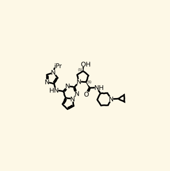 CC(C)n1cnc(Nc2nc(N3C[C@@H](O)C[C@H]3C(=O)NC3CCCN(C4CC4)C3)nn3cccc23)c1